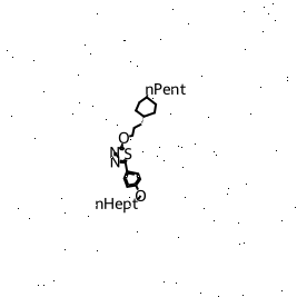 CCCCCCCOc1ccc(-c2nnc(OCCC[C@H]3CC[C@H](CCCCC)CC3)s2)cc1